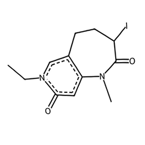 CCn1cc2c(cc1=O)N(C)C(=O)C(I)CC2